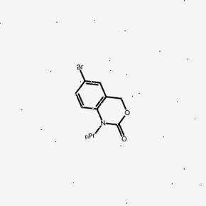 CCCN1C(=O)OCc2cc(Br)ccc21